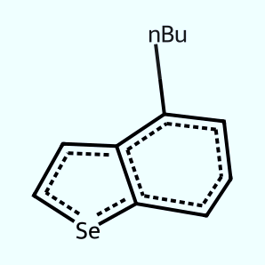 CCCCc1cccc2[se]ccc12